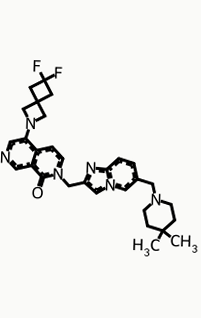 CC1(C)CCN(Cc2ccc3nc(Cn4ccc5c(N6CC7(C6)CC(F)(F)C7)cncc5c4=O)cn3c2)CC1